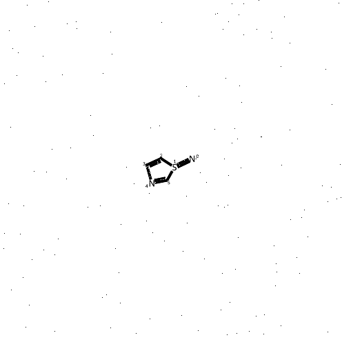 [N]=S1C=CN=C1